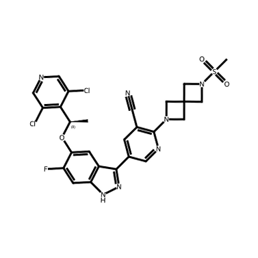 C[C@@H](Oc1cc2c(-c3cnc(N4CC5(C4)CN(S(C)(=O)=O)C5)c(C#N)c3)n[nH]c2cc1F)c1c(Cl)cncc1Cl